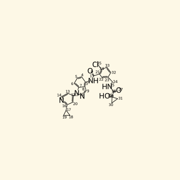 O=C(Nc1cccc2c1cnn2-c1ccnc(C2CC2)c1)c1cc(CNC(=O)C2(O)CC2)ccc1Cl